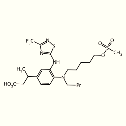 CC(C)CN(CCCCCOS(C)(=O)=O)c1ccc(C(C)CC(=O)O)cc1Nc1nc(C(F)(F)F)ns1